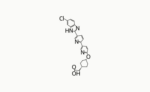 O=C(O)C[C@H]1CC[C@@H](Oc2ccc(-c3ccc(-c4nc5ccc(Cl)cc5[nH]4)cn3)cn2)CC1